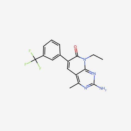 CCn1c(=O)c(-c2cccc(C(F)(F)F)c2)cc2c(C)nc(N)nc21